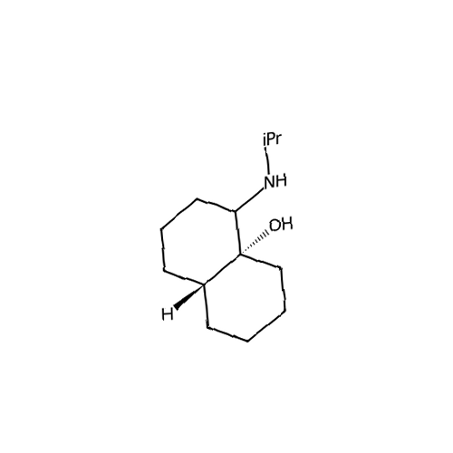 CC(C)NC1CCC[C@H]2CCCC[C@]12O